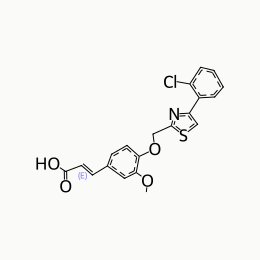 COc1cc(/C=C/C(=O)O)ccc1OCc1nc(-c2ccccc2Cl)cs1